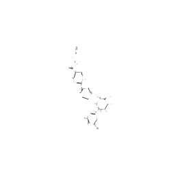 NCCNC(=O)c1cnc(-c2cccc(Cn3nc(-c4cc(F)c(F)c(F)c4)ccc3=O)c2)nc1